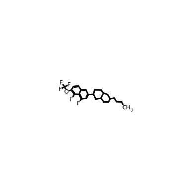 CCCCC1CCC2CC(c3cc(F)c4c(F)c(OC(F)(F)F)ccc4c3)CCC2C1